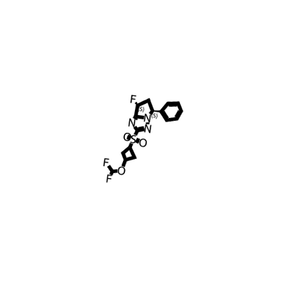 O=S(=O)(c1nc2n(n1)[C@H](c1ccccc1)C[C@@H]2F)C1CC(OC(F)F)C1